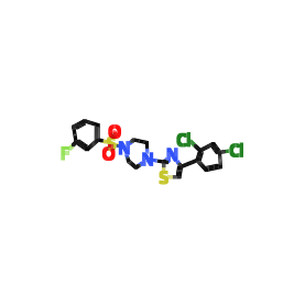 O=S(=O)(c1cccc(F)c1)N1CCN(c2nc(-c3ccc(Cl)cc3Cl)cs2)CC1